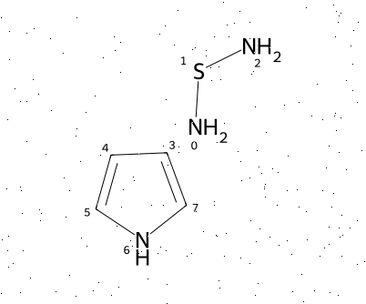 NSN.c1cc[nH]c1